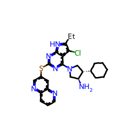 CCc1[nH]c2nc(Sc3cnc4cccnc4c3)nc(N3C[C@H](C4CCCCC4)[C@@H](N)C3)c2c1Cl